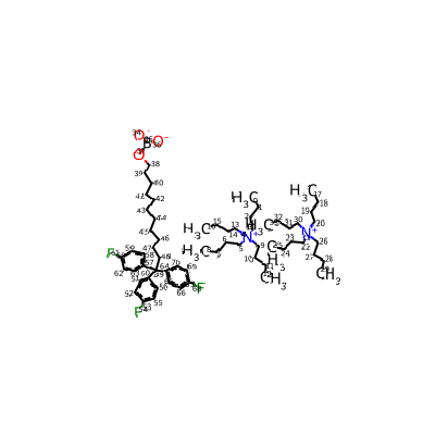 CCCC[N+](CCCC)(CCCC)CCCC.CCCC[N+](CCCC)(CCCC)CCCC.[O-]B([O-])OCCCCCCCCCCCC(c1ccc(F)cc1)(c1ccc(F)cc1)c1ccc(F)cc1